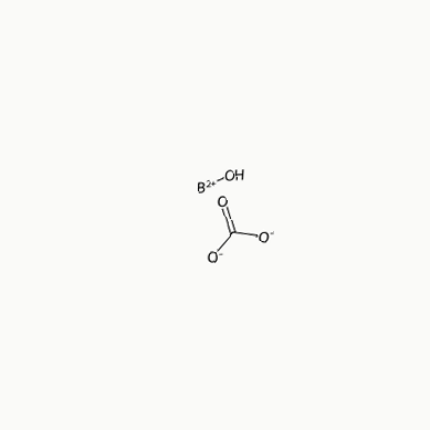 O=C([O-])[O-].[B+2]O